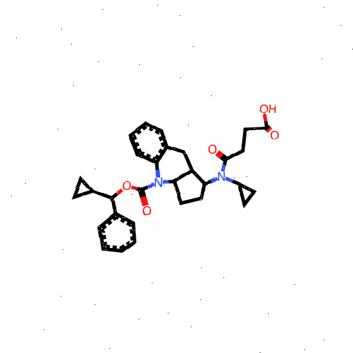 O=C(O)CCC(=O)N(C1CC1)C1CCC2C1Cc1ccccc1N2C(=O)OC(c1ccccc1)C1CC1